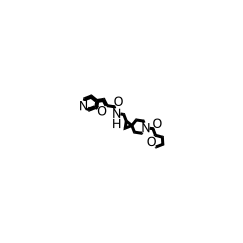 O=C(NCC1CC12CCN(C(=O)C1CCCO1)CC2)c1cc2ccncc2o1